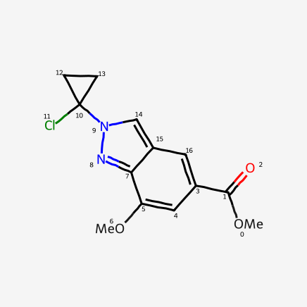 COC(=O)c1cc(OC)c2nn(C3(Cl)CC3)cc2c1